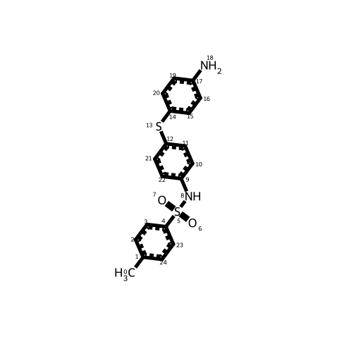 Cc1ccc(S(=O)(=O)Nc2ccc(Sc3ccc(N)cc3)cc2)cc1